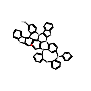 CC(C)(C)c1ccc(N2c3cccc4c3B(c3ccc5cc3N4c3ccccc3Sc3ccccc3N5c3ccccc3)c3sc4ccccc4c32)c(-c2cccc3sc4ccccc4c23)c1